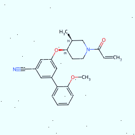 C=CC(=O)N1CC[C@@H](Oc2cc(C#N)cc(-c3ccccc3OC)c2)[C@@H](C)C1